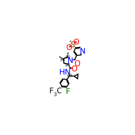 C[C@@H]1C[C@H](C(=O)N[C@@H](c2ccc(C(F)(F)F)c(F)c2)C2CC2)N(C(=O)c2cncc(S(C)(=O)=O)c2)[C@@H]1C